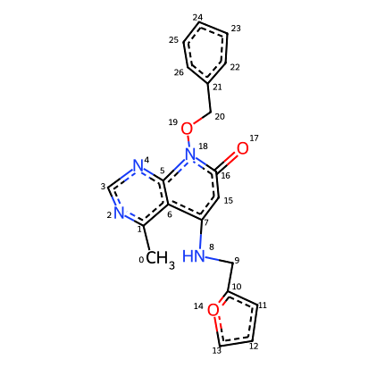 Cc1ncnc2c1c(NCc1ccco1)cc(=O)n2OCc1ccccc1